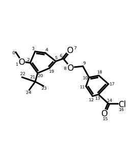 COc1ccc(C(=O)OCc2ccc(C(=O)Cl)cc2)cc1C(C)(C)C